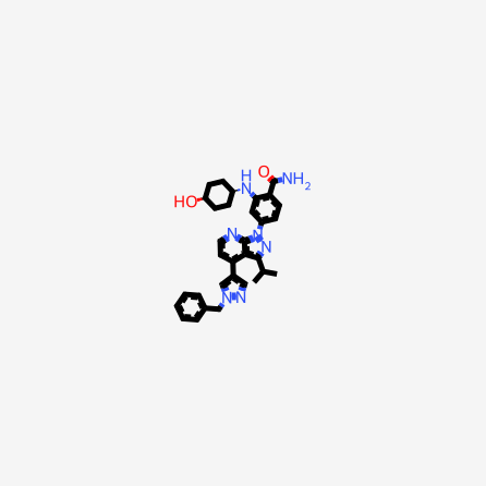 CC(C)c1nn(-c2ccc(C(N)=O)c(N[C@H]3CC[C@H](O)CC3)c2)c2nccc(-c3cnn(Cc4ccccc4)c3)c12